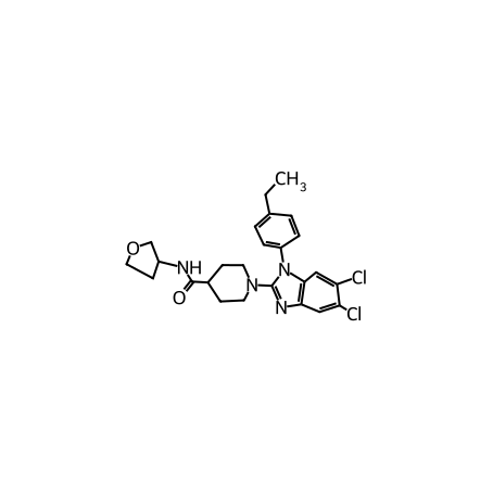 CCc1ccc(-n2c(N3CCC(C(=O)NC4CCOC4)CC3)nc3cc(Cl)c(Cl)cc32)cc1